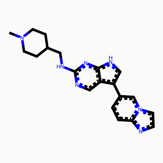 CN1CCC(CNc2ncc3c(-c4ccc5nccn5c4)c[nH]c3n2)CC1